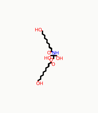 O=C(C=CCCCCCCCO)NC(CO)(CO)COC(=O)C=CCCCCCCCO